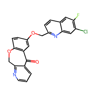 O=C1c2cc(OCc3ccc4cc(F)c(Cl)cc4n3)ccc2OCc2ncccc21